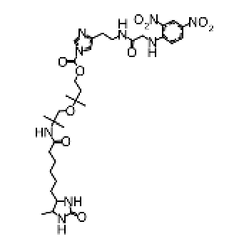 CC1NC(=O)NC1CCCCCC(=O)NC(C)(C)COC(C)(C)CCOC(=O)n1cnc(CCNC(=O)CNc2ccc([N+](=O)[O-])cc2[N+](=O)[O-])c1